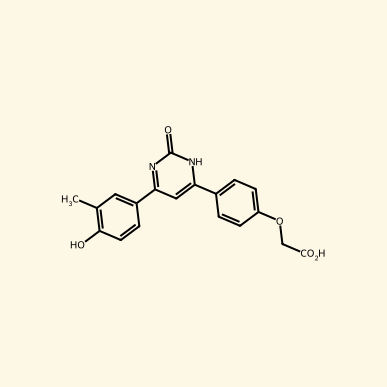 Cc1cc(-c2cc(-c3ccc(OCC(=O)O)cc3)[nH]c(=O)n2)ccc1O